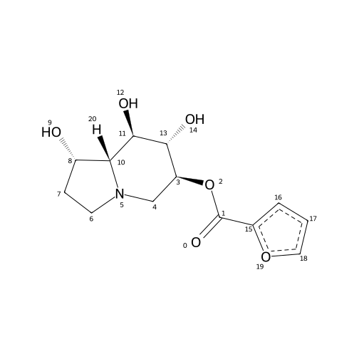 O=C(O[C@H]1CN2CC[C@H](O)[C@@H]2[C@@H](O)[C@@H]1O)c1ccco1